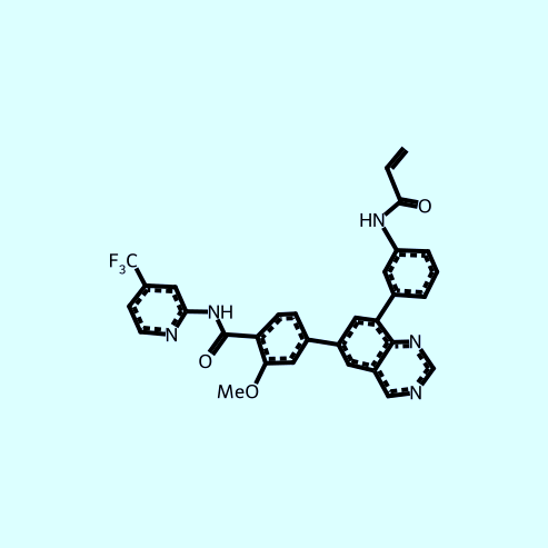 C=CC(=O)Nc1cccc(-c2cc(-c3ccc(C(=O)Nc4cc(C(F)(F)F)ccn4)c(OC)c3)cc3cncnc23)c1